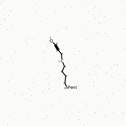 CCCCCCCCCCCC#C[O]